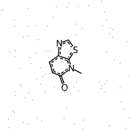 Cn1c(=O)ccc2ncsc21